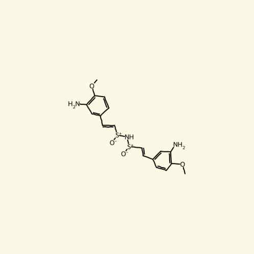 COc1ccc(C=C[S+]([O-])N[S+]([O-])C=Cc2ccc(OC)c(N)c2)cc1N